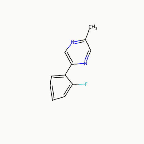 Cc1cnc(-c2ccccc2F)cn1